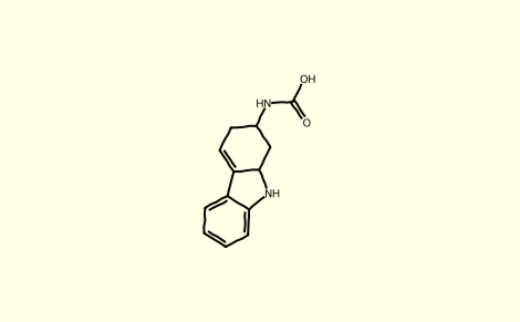 O=C(O)NC1CC=C2c3ccccc3NC2C1